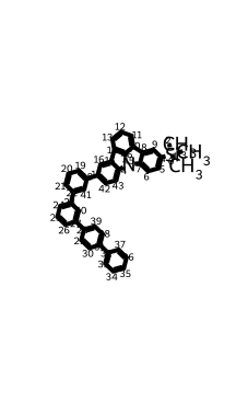 C[Si](C)(C)c1ccc2c(c1)c1cccc3c4cc(-c5cccc(-c6cccc(-c7ccc(-c8ccccc8)cc7)c6)c5)ccc4n2c31